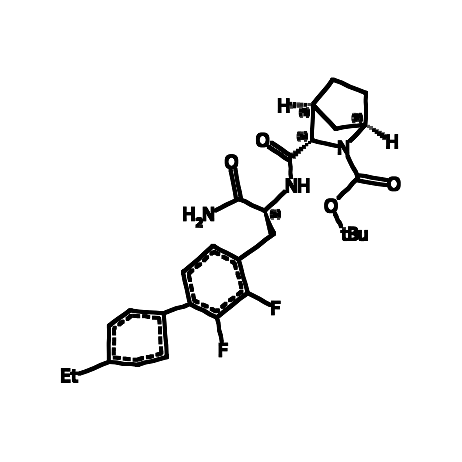 CCc1ccc(-c2ccc(C[C@H](NC(=O)[C@@H]3[C@H]4CC[C@H](C4)N3C(=O)OC(C)(C)C)C(N)=O)c(F)c2F)cc1